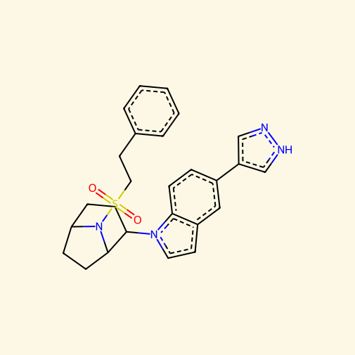 O=S(=O)(CCc1ccccc1)N1C2CCC1C(n1ccc3cc(-c4cn[nH]c4)ccc31)CC2